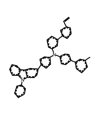 C=Cc1cccc(-c2cccc(N(c3ccc(-c4cccc(C)c4)cc3)c3ccc(-c4ccc5c(c4)c4ccccc4n5-c4ccccc4)cc3)c2)c1